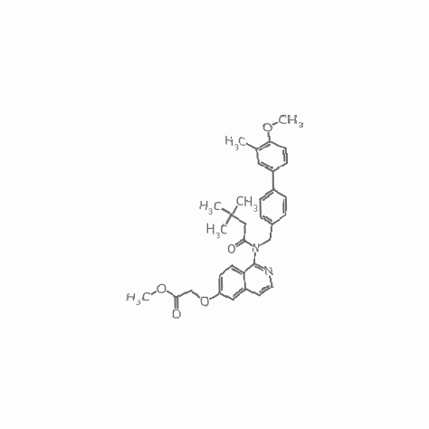 COC(=O)COc1ccc2c(N(Cc3ccc(-c4ccc(OC)c(C)c4)cc3)C(=O)CC(C)(C)C)nccc2c1